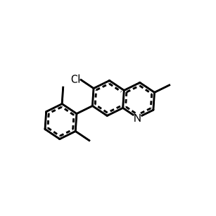 Cc1cnc2cc(-c3c(C)cccc3C)c(Cl)cc2c1